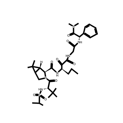 CCC[C@@H](NC(=O)[C@@H]1[C@@H]2C(CN1C(=O)[C@@H](NS(=O)(=O)C(C)C)C(C)(C)C)C2(C)C)C(=O)C(=O)NCC(=O)N[C@H](C(=O)N(C)C)c1ccccc1